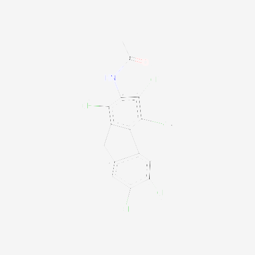 CC(=O)Nc1c(Cl)c(Cl)c2c(c1Cl)Cc1cc(Cl)c(Cl)cc1-2